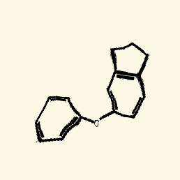 [c]1cccc(Oc2ccc3c(c2)CCC3)c1